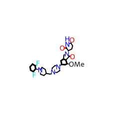 COc1cc(N2CCN(CC3CCN(c4c(F)cccc4F)CC3)CC2)cc2c1C(=O)N(C1CCC(=O)NC1=O)C2